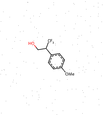 COc1ccc(C(CO)C(F)(F)F)cc1